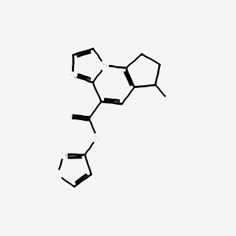 CC1CCc2c1cc(C(=O)Nc1ccon1)c1nccn21